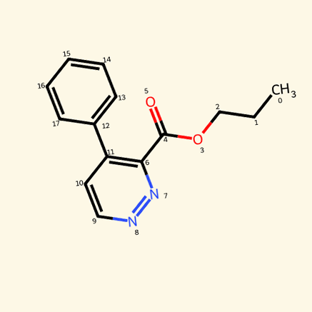 CCCOC(=O)c1nnccc1-c1ccccc1